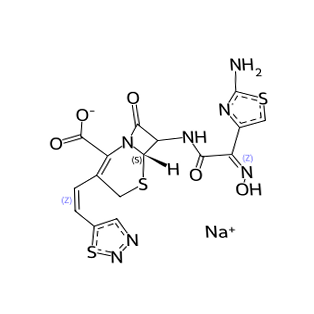 Nc1nc(/C(=N/O)C(=O)NC2C(=O)N3C(C(=O)[O-])=C(/C=C\c4cnns4)CS[C@@H]23)cs1.[Na+]